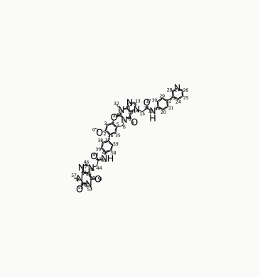 COc1ccc(Cn2c(=O)c3c(ncn3CC(=O)Nc3ccc(-c4cccnc4)cc3)n(C)c2=O)cc1-c1ccc(NC(=O)Cn2cnc3c2c(=O)n(C)c(=O)n3C)cc1